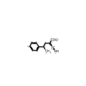 CC(CC(=[N+]=N)C(=O)[O-])c1ccccc1